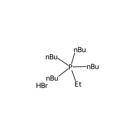 Br.CCCCP(CC)(CCCC)(CCCC)CCCC